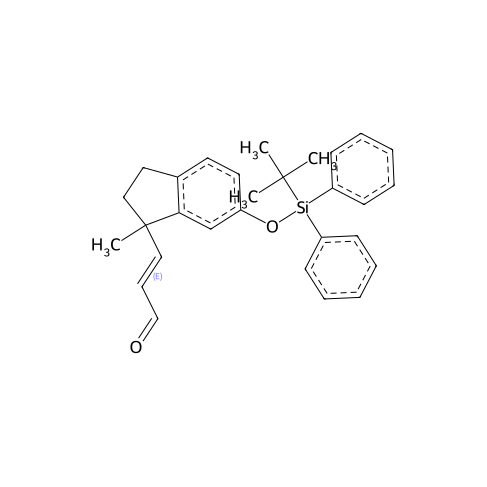 CC1(/C=C/C=O)CCc2ccc(O[Si](c3ccccc3)(c3ccccc3)C(C)(C)C)cc21